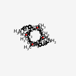 CC(C)C[C@H]1C(=O)O[C@H](Cc2ccc(Cn3cc(CN)cn3)cc2)C(=O)N(C)[C@@H](CC(C)C)C(=O)O[C@H](C)C(=O)N(C)[C@@H](CC(C)C)C(=O)O[C@H](Cc2ccc(Cn3cc(CN)cn3)cc2)C(=O)N(C)[C@@H](CC(C)C)C(=O)O[C@H](C)C(=O)N1C